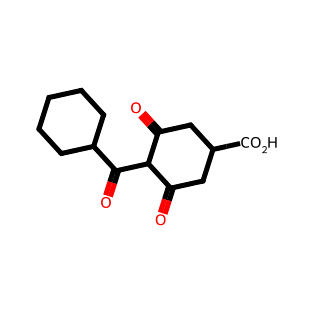 O=C(O)C1CC(=O)C(C(=O)C2CCCCC2)C(=O)C1